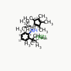 CC1=C(C)C(C)[C]([Hf]([NH]c2ccccc2C(C)(C)C)[SiH](C)C)=C1C.Cl.Cl